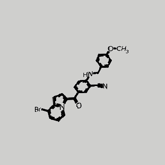 COc1ccc(CNc2ccc(C(=O)c3ccc4c(Br)cccn34)cc2C#N)cc1